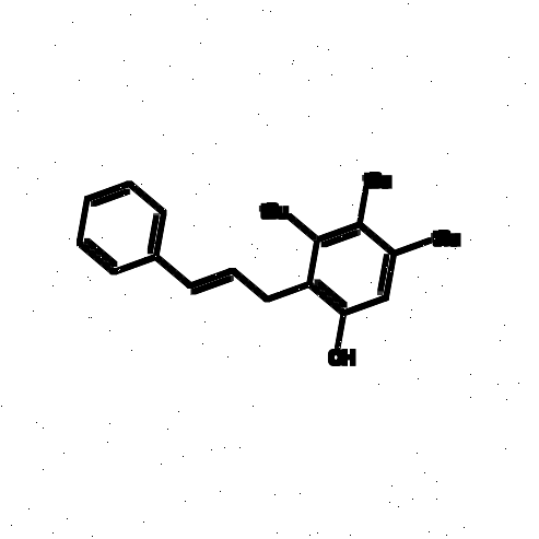 CC(C)(C)c1cc(O)c(CC=Cc2ccccc2)c(C(C)(C)C)c1C(C)(C)C